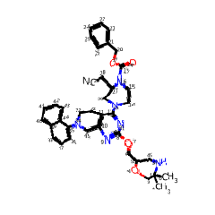 CC1(C)COC(COc2nc3c(c(N4CCN(C(=O)OCc5ccccc5)C(CC#N)C4)n2)CCN(c2cccc4ccccc24)C3)CN1